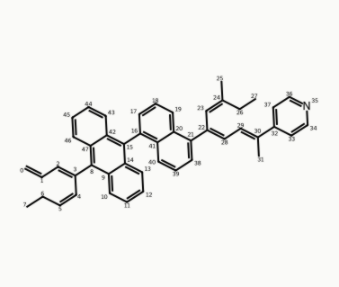 C=C/C=C(\C=C/CC)c1c2ccccc2c(-c2cccc3c(C(/C=C(/C)CC)=C/C=C(\C)c4ccncc4)cccc23)c2ccccc12